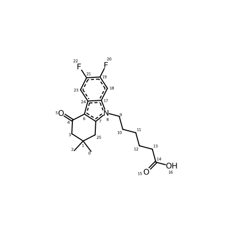 CC1(C)CC(=O)c2c(n(CCCCCC(=O)O)c3cc(F)c(F)cc23)C1